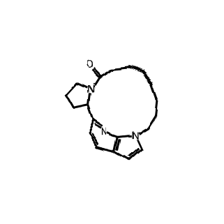 O=C1CCCCCCCn2ccc3ccc(nc32)C2CCCN12